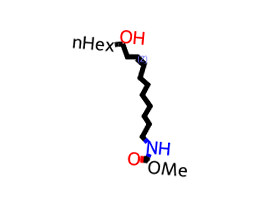 CCCCCCC(O)C/C=C\CCCCCCCNC(=O)OC